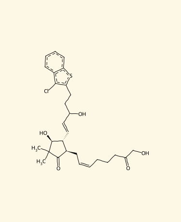 CC1(C)C(=O)[C@H](C/C=C\CCCC(=O)CO)[C@@H](/C=C/C(O)CCc2sc3ccccc3c2Cl)[C@@H]1O